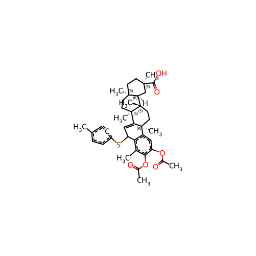 CC(=O)Oc1cc2c(c(C)c1OC(C)=O)C(Sc1ccc(C)cc1)C=C1[C@@]2(C)CC[C@@]2(C)[C@@H]3C[C@](C)(C(=O)O)CC[C@]3(C)CC[C@]12C